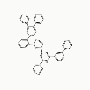 C1=CC(c2nc(-c3ccccc3)nc(-c3cccc(-c4ccccc4)c3)n2)=CC(c2ccccc2-c2ccc3c4ccccc4c4ccccc4c3c2)C1